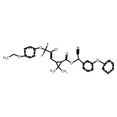 CCOc1ccc(OC(F)(F)C(Cl)=CC2C(C(=O)OC(C#N)c3cccc(Oc4ccccc4)c3)C2(C)C)cc1